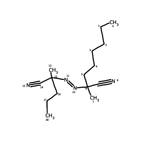 CCCCCCC(C)(C#N)/N=N/C(C)(C#N)CCC